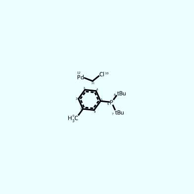 Cc1cccc(P(C(C)(C)C)C(C)(C)C)c1.Cl[CH2][Pd]